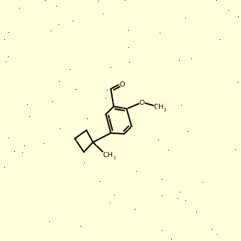 COc1ccc(C2(C)CCC2)cc1C=O